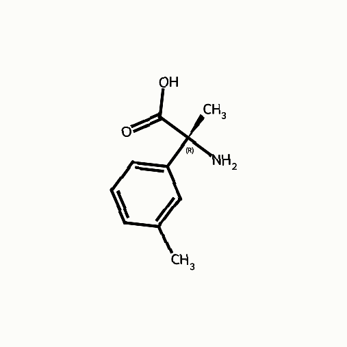 Cc1cccc([C@@](C)(N)C(=O)O)c1